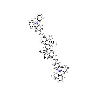 CC1(C)c2cc(/C=C/c3ccc4c(c3)c3ccccc3n4-c3ccccc3)ccc2-c2cc3c(cc21)-c1ccc(/C=C/c2ccc4c(c2)c2ccccc2n4-c2cccc4ccccc24)cc1C3(C)C